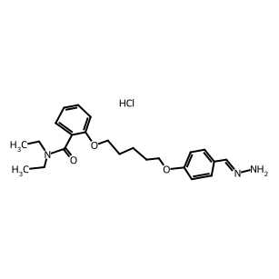 CCN(CC)C(=O)c1ccccc1OCCCCCOc1ccc(C=NN)cc1.Cl